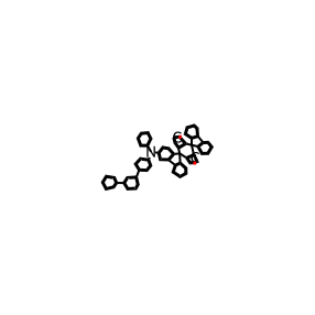 c1ccc(-c2cccc(-c3ccc(N(c4ccccc4)c4ccc5c(c4)-c4ccccc4C54c5ccccc5C5(c6ccccc6-c6ccccc65)c5ccccc54)cc3)c2)cc1